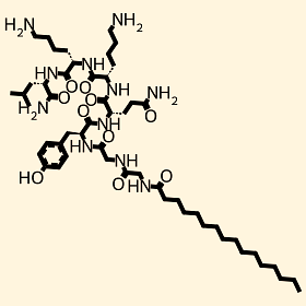 CCCCCCCCCCCCCCCC(=O)NCC(=O)NCC(=O)N[C@@H](Cc1ccc(O)cc1)C(=O)N[C@@H](CCC(N)=O)C(=O)N[C@@H](CCCCN)C(=O)N[C@@H](CCCCN)C(=O)N[C@@H](CC(C)C)C(N)=O